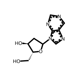 OC[C@H]1OC(n2cnc3cncnc32)C[C@@H]1O